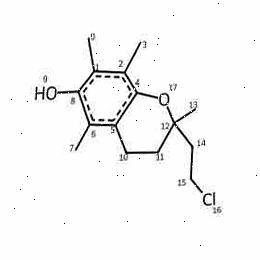 Cc1c(C)c2c(c(C)c1O)CCC(C)(CCCl)O2